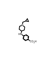 O=C(O)c1ccc(NC2CCN(CC3CC3)CC2)cc1